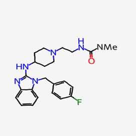 CNC(=O)NCCN1CCC(Nc2nc3ccccc3n2Cc2ccc(F)cc2)CC1